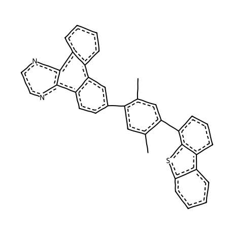 Cc1cc(-c2cccc3c2sc2ccccc23)c(C)cc1-c1ccc2c(c1)c1ccccc1c1nccnc21